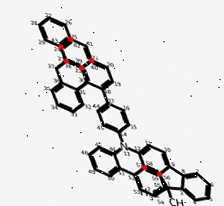 CC1(C)c2ccccc2-c2ccc(N(c3ccc(-c4cccc(Cc5ccccc5)c4-c4ccccc4Cc4ccccc4)cc3)c3ccccc3-c3ccccc3)cc21